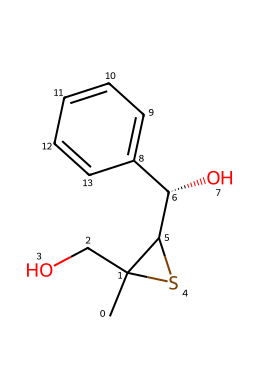 CC1(CO)SC1[C@@H](O)c1ccccc1